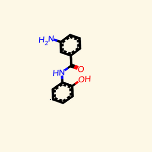 Nc1cccc(C(=O)Nc2c[c]ccc2O)c1